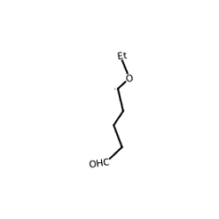 CCO[CH]CCCC=O